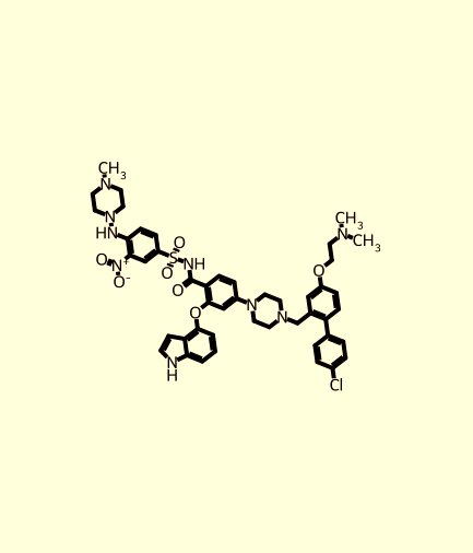 CN(C)CCOc1ccc(-c2ccc(Cl)cc2)c(CN2CCN(c3ccc(C(=O)NS(=O)(=O)c4ccc(NN5CCN(C)CC5)c([N+](=O)[O-])c4)c(Oc4cccc5[nH]ccc45)c3)CC2)c1